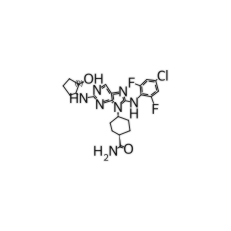 NC(=O)[C@H]1CC[C@@H](n2c(Nc3c(F)cc(Cl)cc3F)nc3cnc(NC4CCC[C@H]4O)nc32)CC1